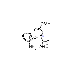 COC(=O)/C=C(\C)C(=O)OC.Nc1ccccc1